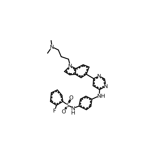 CN(C)CCCn1ccc2cc(-c3cc(Nc4ccc(NS(=O)(=O)c5ccccc5F)cc4)ncn3)ccc21